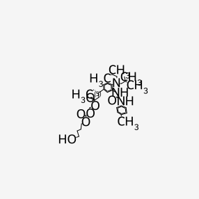 CC[C@@H](CC(=O)OCOC(=O)OCCCCO)c1ccc(N(CC(C)C)CC(C)C)c(NC(=O)Nc2ccc(C)cc2)c1